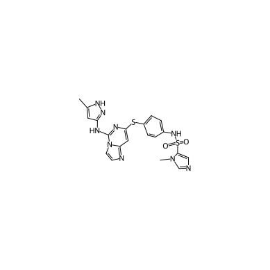 Cc1cc(Nc2nc(Sc3ccc(NS(=O)(=O)c4cncn4C)cc3)cc3nccn23)n[nH]1